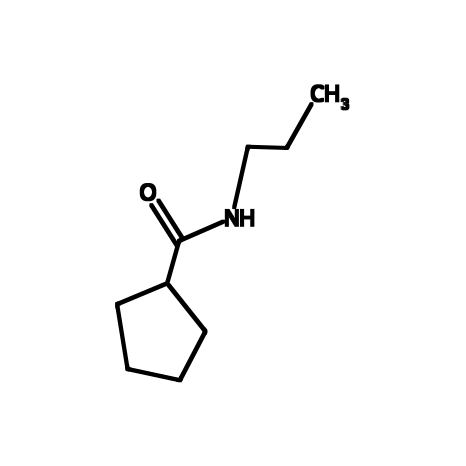 CCCNC(=O)C1CCCC1